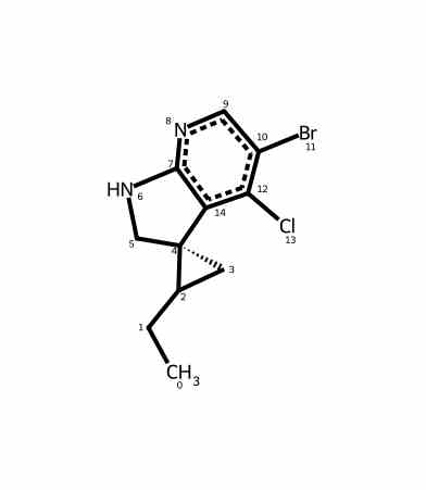 CCC1C[C@@]12CNc1ncc(Br)c(Cl)c12